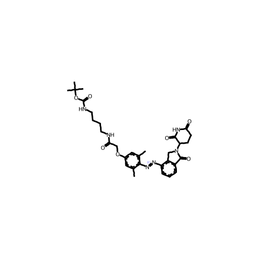 Cc1cc(OCC(=O)NCCCCNC(=O)OC(C)(C)C)cc(C)c1/N=N/c1cccc2c1CN(C1CCC(=O)NC1=O)C2=O